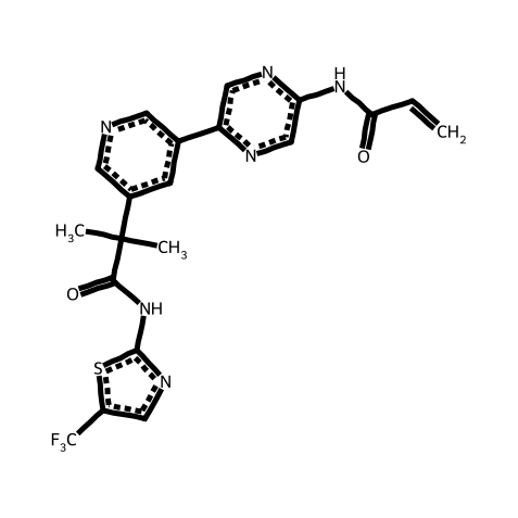 C=CC(=O)Nc1cnc(-c2cncc(C(C)(C)C(=O)Nc3ncc(C(F)(F)F)s3)c2)cn1